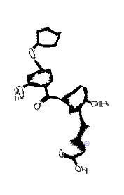 O=C(O)/C=C/Cc1cc(C(=O)c2ccc(OC3CCCC3)cc2O)ccc1O